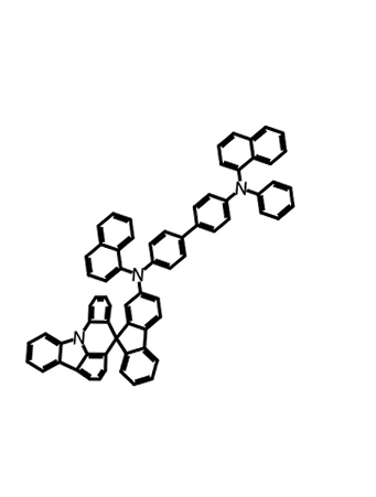 c1ccc(N(c2ccc(-c3ccc(N(c4ccc5c(c4)C4(c6ccccc6-5)c5ccccc5-n5c6ccccc6c6cccc4c65)c4cccc5ccccc45)cc3)cc2)c2cccc3ccccc23)cc1